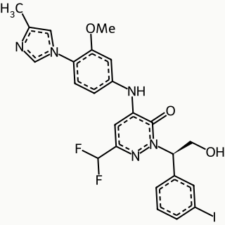 COc1cc(Nc2cc(C(F)F)nn([C@@H](CO)c3cccc(I)c3)c2=O)ccc1-n1cnc(C)c1